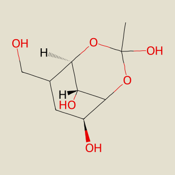 CC1(O)OC2[C@@H](O)CC(CO)[C@@H](O1)[C@H]2O